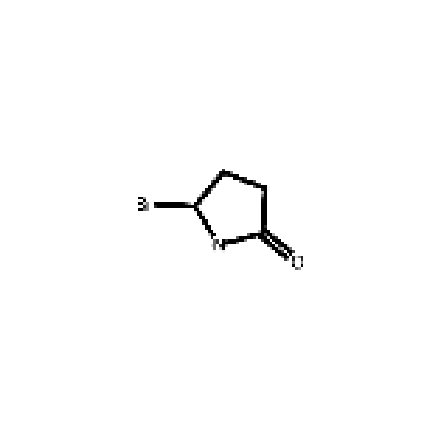 O=C1CCC(Br)[N]1